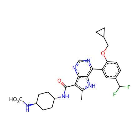 Cc1[nH]c2c(-c3cc(C(F)F)ccc3OCC3CC3)ncnc2c1C(=O)N[C@H]1CC[C@H](NC(=O)O)CC1